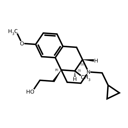 COc1ccc2c(c1)[C@@]1(CCO)CCN(CC3CC3)[C@@H](C2)[C@H]1C